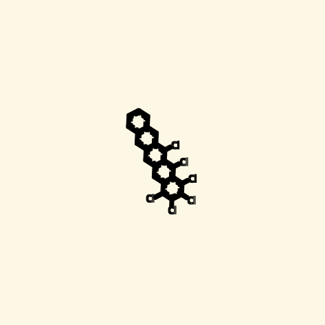 Clc1c(Cl)c(Cl)c2c(Cl)c3c(Cl)c4cc5ccccc5cc4cc3cc2c1Cl